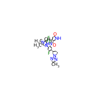 Cc1cnc(N2CCC=C(c3cc(NC(=O)c4c[nH]c(=O)cc4C(F)(F)F)c(N4C[C@@H](C)N(C)[C@@H](C)C4)cc3F)C2)nc1